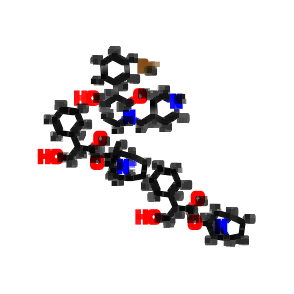 CC(C)[N+]1(C)C2CCC1CC(OC(=O)C(CO)c1ccccc1)C2.CCN(Cc1ccncc1)C(=O)C(CO)c1ccccc1.CN1C2CCC1CC(OC(=O)C(CO)c1ccccc1)C2.[Br-]